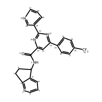 O=C(NC1CCc2ncccc21)c1cc(-c2ccc(C(F)(F)F)cc2)nc(-c2cccnc2)n1